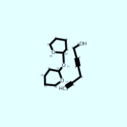 C#CCC#CCO.C1CCC(OC2CCCCO2)OC1